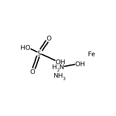 N.NO.O=S(=O)(O)O.[Fe]